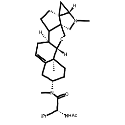 CC(=O)N[C@@H](C(=O)N(C)[C@H]1CC[C@@]2(C)C(=CC[C@H]3C4CC[C@]56C[C@@H]5N(C)C[C@]46CC[C@@H]32)C1)C(C)C